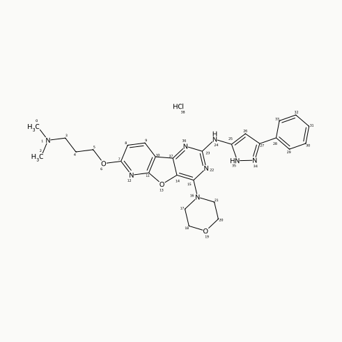 CN(C)CCCOc1ccc2c(n1)oc1c(N3CCOCC3)nc(Nc3cc(-c4ccccc4)n[nH]3)nc12.Cl